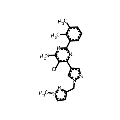 Cc1cccc(-c2nc(N)c(Cl)c(-c3cnn(Cc4ccn(C)n4)c3)n2)c1C